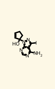 Nc1ncnc2c1c(I)nn2C1(O)C=CCC1